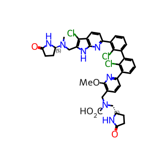 COc1nc(-c2cccc(-c3cccc(-c4ccc5c(Cl)c(CN(C)[C@H]6CCC(=O)N6)[nH]c5n4)c3Cl)c2Cl)ccc1CN(C[C@@H]1CCC(=O)N1)C(=O)O